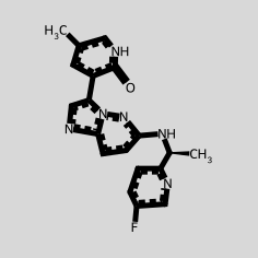 Cc1c[nH]c(=O)c(-c2cnc3ccc(N[C@@H](C)c4ccc(F)cn4)nn23)c1